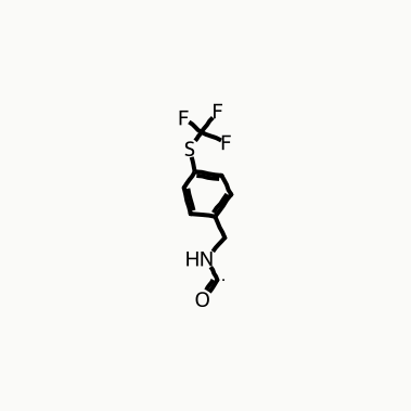 O=[C]NCc1ccc(SC(F)(F)F)cc1